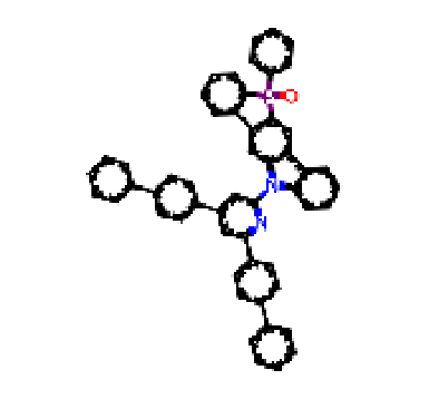 O=P1(c2ccccc2)c2ccccc2-c2cc3c(cc21)c1ccccc1n3-c1cc(-c2ccc(-c3ccccc3)cc2)cc(-c2ccc(-c3ccccc3)cc2)n1